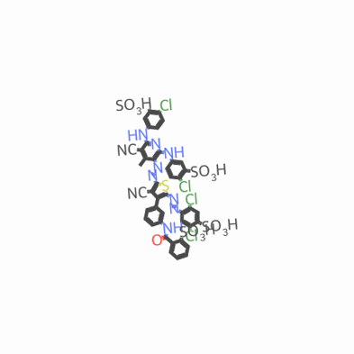 Cc1c(C#N)c(Nc2ccc(Cl)c(S(=O)(=O)O)c2)nc(Nc2ccc(Cl)c(S(=O)(=O)O)c2)c1N=Nc1sc(N=Nc2cc(Cl)c(S(=O)(=O)O)cc2Cl)c(-c2cccc(NC(=O)c3ccccc3S(=O)(=O)O)c2)c1C#N